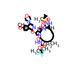 COc1ccc2c(O[C@@H]3C[C@H]4C(=O)N[C@]5(C(=O)NS(=O)(=O)C6(C)CC6)C[C@H]5/C=C\CC[C@@H](C)C[C@@H](C)[C@H](NC(=O)OC(C)(C)C(F)(F)F)C(=O)N4C3)ncc(N3CCOCC3)c2c1